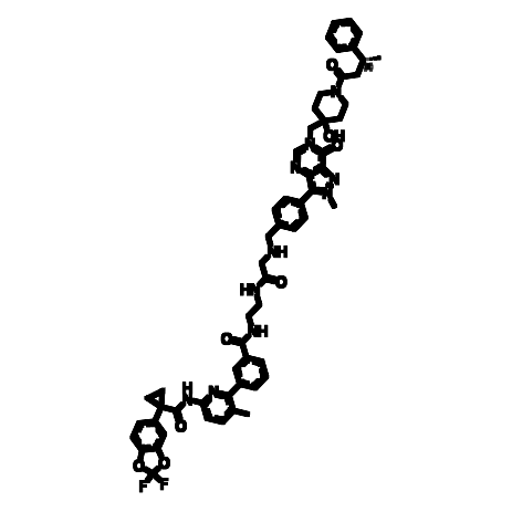 Cc1ccc(NC(=O)C2(c3ccc4c(c3)OC(F)(F)O4)CC2)nc1-c1cccc(C(=O)NCCNC(=O)CNCc2ccc(-c3c4ncn(CC5(O)CCN(C(=O)C[C@@H](C)c6ccccc6)CC5)c(=O)c4nn3C)cc2)c1